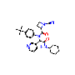 CC(C)(C)c1ccc(N(C(=O)[C@H]2CCN2C#N)C(C(=O)NC2CCCCC2)c2cccnc2)cc1